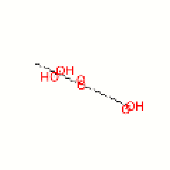 CCCCCCCCC(O)C(O)CCCCCCCC(=O)OCCCCCCCCCCCCCCCCCC(=O)O